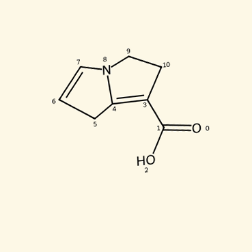 O=C(O)C1=C2CC=CN2CC1